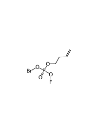 C=CCCOP(=O)(OF)OBr